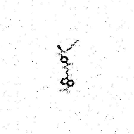 C#CP(Nc1ccc(C(=O)NCCNc2cccc3c(S(=O)O)cccc23)cc1)OCCSSC(C)C